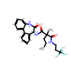 CCCC(C)(C(=O)NCCC(F)(F)F)C(=O)N[C@H]1C(=O)Nc2ccccc2-c2ccccc21